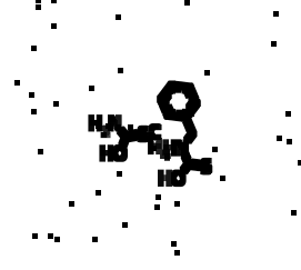 C.NC(O)=S.OC(=S)NCc1ccccc1